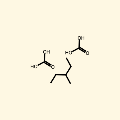 CCC(C)CC.O=C(O)O.O=C(O)O